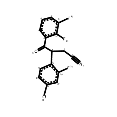 N#CCC(C(=O)c1cccc(I)c1F)c1ccc(Cl)cc1F